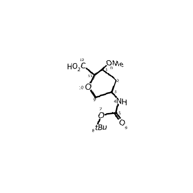 COC1CC(NC(=O)OC(C)(C)C)COC1C(=O)O